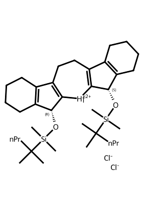 CCCC(C)(C)[Si](C)(C)O[C@@H]1C2=C(CCCC2)C2=[C]1[Hf+2][C]1=C(CC2)C2=C(CCCC2)[C@@H]1O[Si](C)(C)C(C)(C)CCC.[Cl-].[Cl-]